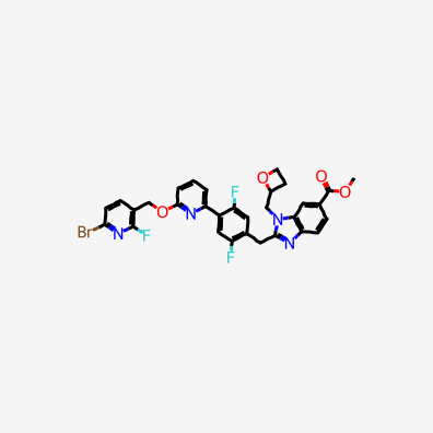 COC(=O)c1ccc2nc(Cc3cc(F)c(-c4cccc(OCc5ccc(Br)nc5F)n4)cc3F)n(CC3CCO3)c2c1